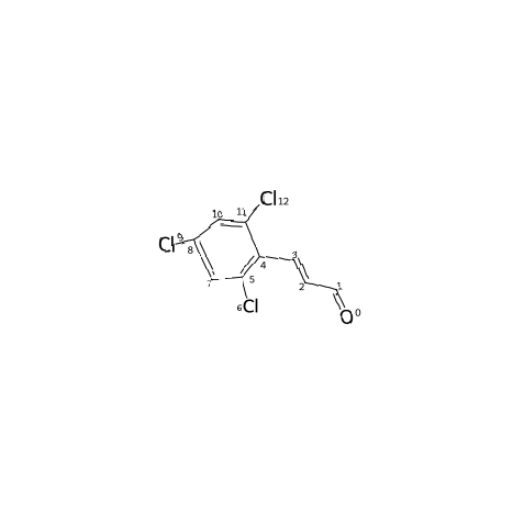 O=[C]C=Cc1c(Cl)cc(Cl)cc1Cl